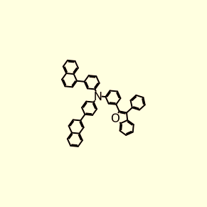 c1ccc(-c2c(-c3cccc(N(c4ccc(-c5ccc6ccccc6c5)cc4)c4cccc(-c5cccc6ccccc56)c4)c3)oc3ccccc23)cc1